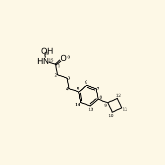 O=C(CCCc1ccc(C2CCC2)cc1)NO